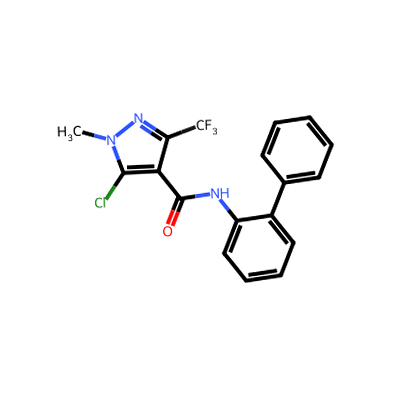 Cn1nc(C(F)(F)F)c(C(=O)Nc2ccccc2-c2ccccc2)c1Cl